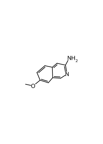 COc1ccc2cc(N)ncc2c1